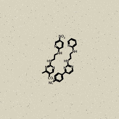 Cc1nc(NCCNc2ccc([N+](=O)[O-])cn2)ncc1C(=O)O.N#Cc1ccc(-c2ccnc(NCCNc3ccccn3)n2)cc1